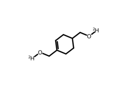 [2H]OCC1=CCC(CO[2H])CC1